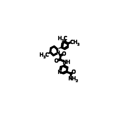 Cc1ccc([C@H]2CC[C@H](C)CN2C(=O)C(=O)Nc2cncc(C(N)=O)c2)cc1C